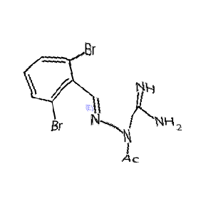 CC(=O)N(/N=C/c1c(Br)cccc1Br)C(=N)N